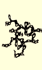 CCCCCCCCOP(=O)(O)OP(=O)(O)OCCCCCCCC.CCCCCCCCOP(=O)(O)OP(=O)(O)OCCCCCCCC.O=CC(=O)O.[Ti]